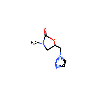 CN1CC(Cn2ccnn2)OC1=O